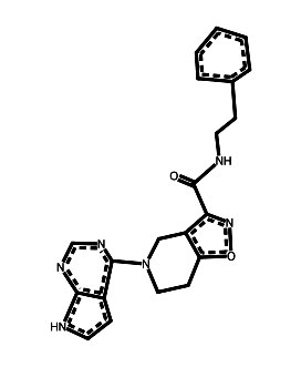 O=C(NCCc1ccccc1)c1noc2c1CN(c1ncnc3[nH]ccc13)CC2